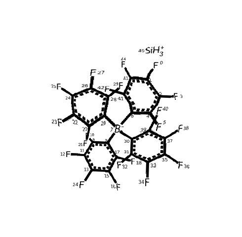 Fc1c(F)c(F)c([B-](c2c(F)c(F)c(F)c(F)c2F)(c2c(F)c(F)c(F)c(F)c2F)c2c(F)c(F)c(F)c(F)c2F)c(F)c1F.[SiH3+]